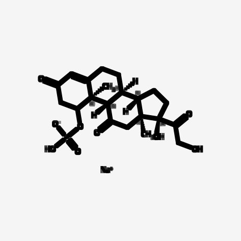 C[C@]12CC(=O)[C@H]3[C@@H](CCC4=CC(=O)CC(OP(=O)([O-])O)[C@@]43C)[C@@H]1CC[C@]2(O)C(=O)CO.[Na+]